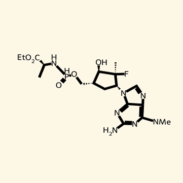 CCOC(=O)[C@H](C)N[PH](=O)OC[C@H]1C[C@@H](n2cnc3c(NC)nc(N)nc32)[C@](C)(F)[C@@H]1O